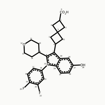 O=C(O)C1CC2(C1)CC(c1c(C3CCOCC3)n(-c3ccc(F)c(F)c3)c3ccc(O)cc13)C2